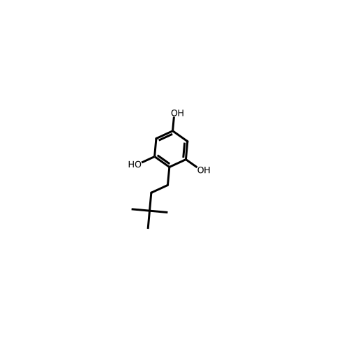 CC(C)(C)CCc1c(O)cc(O)cc1O